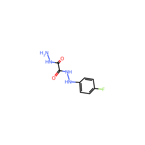 NNC(=O)C(=O)NNc1ccc(F)cc1